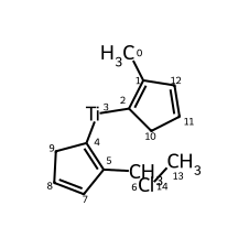 CC1=[C]([Ti][C]2=C(C)C=CC2)CC=C1.CCl